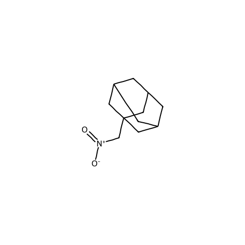 O=[N+]([O-])CC12CC3CC(CC(C3)C1)C2